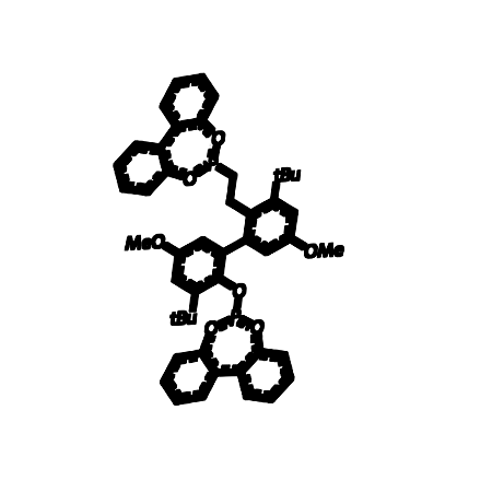 COc1cc(-c2cc(OC)cc(C(C)(C)C)c2Op2oc3ccccc3c3ccccc3o2)c(CCp2oc3ccccc3c3ccccc3o2)c(C(C)(C)C)c1